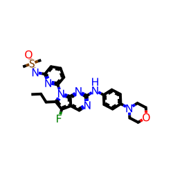 CCCc1c(F)c2cnc(Nc3ccc(N4CCOCC4)cc3)nc2n1-c1cccc(N=S(C)(C)=O)n1